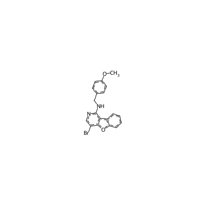 COc1ccc(CNc2ncc(Br)c3oc4ccccc4c23)cc1